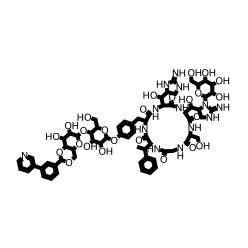 CC(c1ccccc1)C1NC(=O)CNC(=O)C(CO)NC(=O)C(C(O)C2CNC(=N)N2C2OC(CO)C(O)C(O)C2O)NC(=O)C(C(O)C2CNC(=N)N2)NC(=O)C(Cc2ccc(OC3OC(CO)C(OC4OC5COC(c6cccc(-c7cccnc7)c6)OC5C(O)C4O)C(O)C3O)cc2)NC1=O